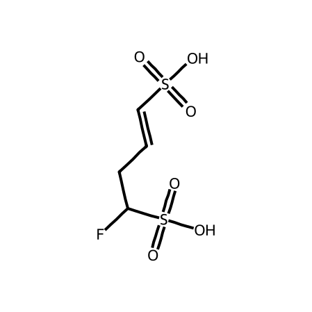 O=S(=O)(O)C=CCC(F)S(=O)(=O)O